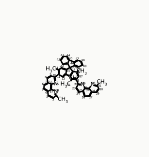 Cc1ccc2ccc3ccc(-c4cc(C)c(C5(c6cc(C)c(-c7ccc8ccc9ccc(C)nc9c8n7)cc6C)c6ccccc6-c6ccccc65)cc4C)nc3c2n1